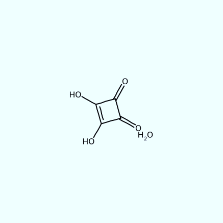 O.O=c1c(O)c(O)c1=O